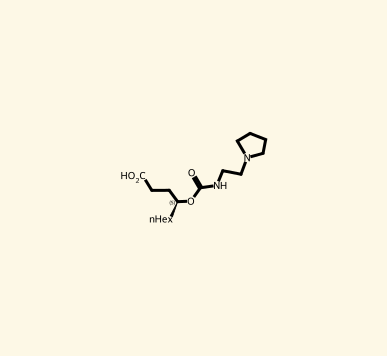 CCCCCC[C@@H](CCC(=O)O)OC(=O)NCCN1CCCC1